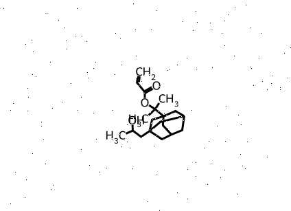 C=CC(=O)OC(C)(C)C12CC3CC(CC(CC(C)O)(C3)C1)C2